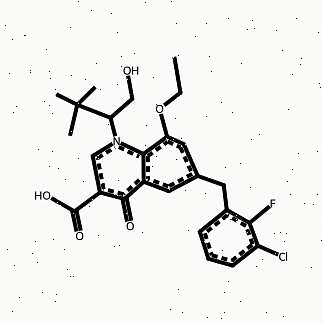 CCOc1cc(Cc2cccc(Cl)c2F)cc2c(=O)c(C(=O)O)cn(C(CO)C(C)(C)C)c12